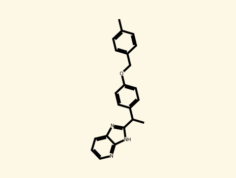 Cc1ccc(COc2ccc(C(C)c3nc4cccnc4[nH]3)cc2)cc1